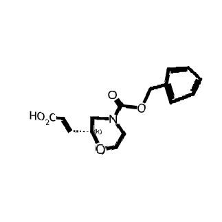 O=C(O)C=C[C@@H]1CN(C(=O)OCc2ccccc2)CCO1